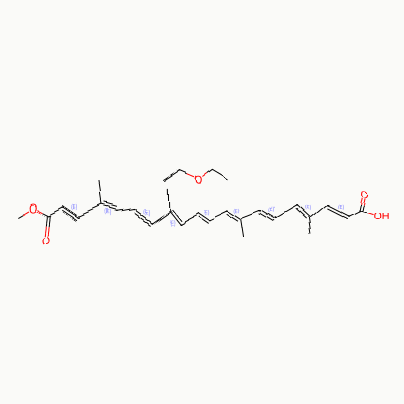 CCOCC.COC(=O)/C=C/C(C)=C/C=C/C(C)=C/C=C/C=C(C)/C=C/C=C(C)/C=C/C(=O)O